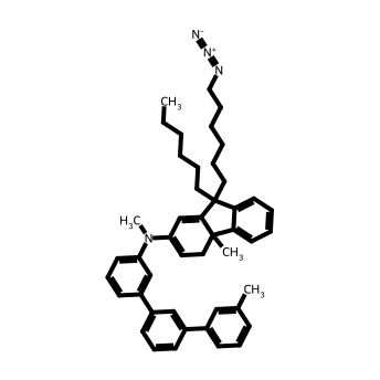 CCCCCCC1(CCCCCCN=[N+]=[N-])C2=CC(N(C)c3cccc(-c4cccc(-c5cccc(C)c5)c4)c3)=CCC2(C)c2ccccc21